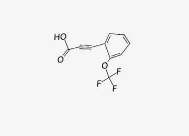 O=C(O)C#Cc1ccccc1OC(F)(F)F